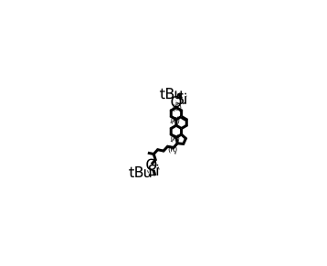 CC(CCC[C@@H](C)C1CCC2C3CC=C4C[C@@H](O[Si](C)(C)C(C)(C)C)CC[C@]4(C)C3CC[C@@]21C)CO[Si](C)(C)C(C)(C)C